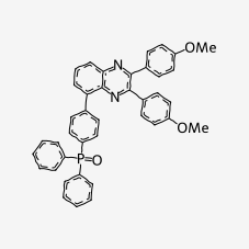 COc1ccc(-c2nc3cccc(-c4ccc(P(=O)(c5ccccc5)c5ccccc5)cc4)c3nc2-c2ccc(OC)cc2)cc1